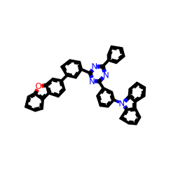 c1ccc(-c2nc(-c3cccc(-c4ccc5c(c4)oc4ccccc45)c3)nc(-c3cccc(-n4c5ccccc5c5ccccc54)c3)n2)cc1